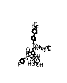 CCN(CC)CN(C)CCN1CN(Cc2ccc(-c3ccc(C(F)(F)F)cc3)cc2)C(CC2CCc3c2c(=O)nc(SCc2ccc(F)cc2)n3OC(C(=O)O)C(O)C(=O)O)=N1